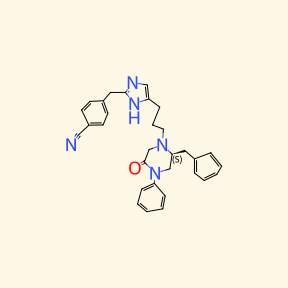 N#Cc1ccc(Cc2ncc(CCCN3CC(=O)N(c4ccccc4)C[C@@H]3Cc3ccccc3)[nH]2)cc1